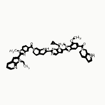 CCn1c(-c2nc3cc(C(=O)N4CCC5CC(c6ncc7cc(-c8nc9cc(C(=O)N%10CCC%11CCNC%11C%10)cc(OC)c9n8C)n(CC8CC8)c7n6)NC5C4)ccc3n2C)cc2cccnc21